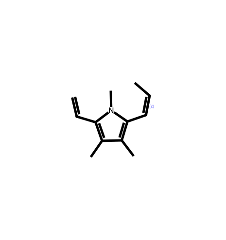 C=Cc1c(C)c(C)c(/C=C\C)n1C